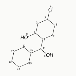 OC1CC(Cl)CCC1C(O)C1CCCCC1